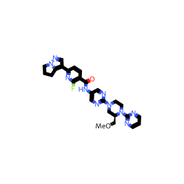 COC[C@H]1CN(c2ncc(NC(=O)c3ccc(-c4cnn5c4CCC5)nc3F)cn2)CCN1c1ncccn1